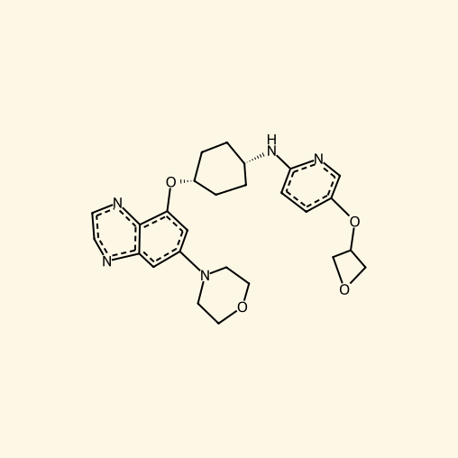 c1cnc2c(O[C@H]3CC[C@@H](Nc4ccc(OC5COC5)cn4)CC3)cc(N3CCOCC3)cc2n1